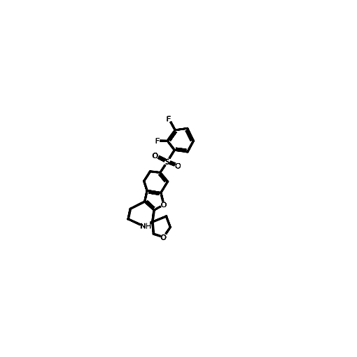 O=S(=O)(C1=Cc2oc3c(c2CC1)CCNC31CCOC1)c1cccc(F)c1F